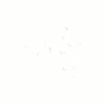 CCOc1ccc(-n2c([C@@H](CNC(=O)OC(C)(C)C)NCc3cccnc3)nc3c(c2=O)CCCN3)cc1